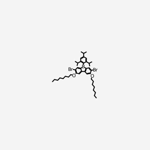 CCCCCCCCOc1cc2c(cc1Br)B(c1c(C(C)C)cc(C(C)C)cc1C(C)C)c1cc(Br)c(OCCCCCCCC)cc1-2